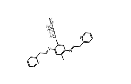 Cc1cc(N=CCc2ccccn2)c(C)cc1N=CCc1ccccn1.Cl.Cl.Cl.Cl.[Ni].[Ni]